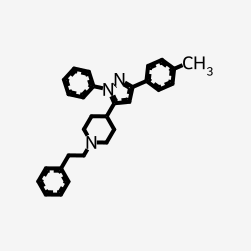 Cc1ccc(-c2cc(C3CCN(CCc4ccccc4)CC3)n(-c3ccccc3)n2)cc1